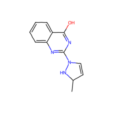 CC1C=CN(c2nc(O)c3ccccc3n2)N1